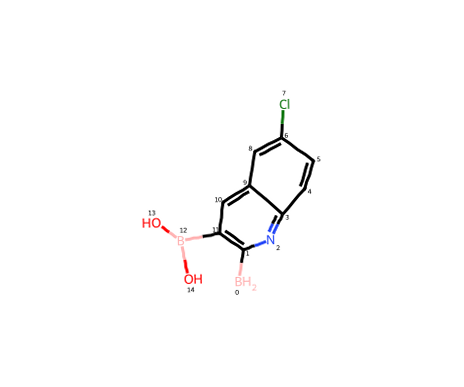 Bc1nc2ccc(Cl)cc2cc1B(O)O